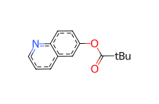 CC(C)(C)C(=O)Oc1ccc2ncccc2c1